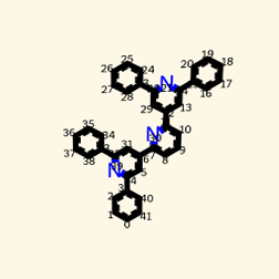 c1ccc(-c2cc(-c3cccc(-c4cc(-c5ccccc5)nc(-c5ccccc5)c4)n3)cc(-c3ccccc3)n2)cc1